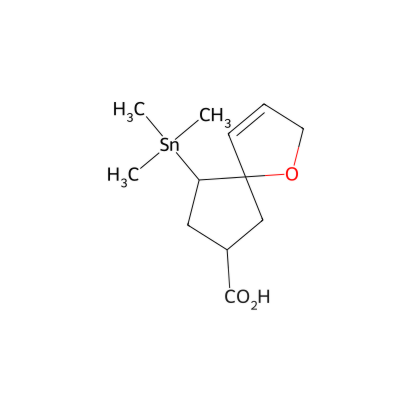 [CH3][Sn]([CH3])([CH3])[CH]1CC(C(=O)O)CC12C=CCO2